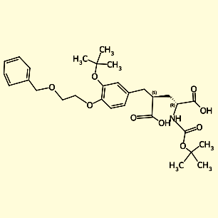 CC(C)(C)OC(=O)N[C@H](C[C@H](Cc1ccc(OCCOCc2ccccc2)c(OC(C)(C)C)c1)C(=O)O)C(=O)O